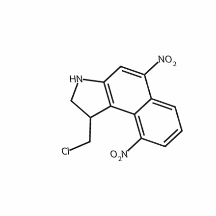 O=[N+]([O-])c1cc2c(c3c([N+](=O)[O-])cccc13)C(CCl)CN2